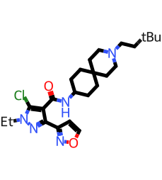 CCn1nc(-c2ccon2)c(C(=O)NC2CCC3(CC2)CCN(CCC(C)(C)C)CC3)c1Cl